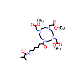 C=C(C)C(=O)NCCCCCC(=O)N1CCN(CC(=O)OC(C)(C)C)CCN(CC(=O)OC(C)(C)C)CCN(CC(=O)OC(C)(C)C)CC1